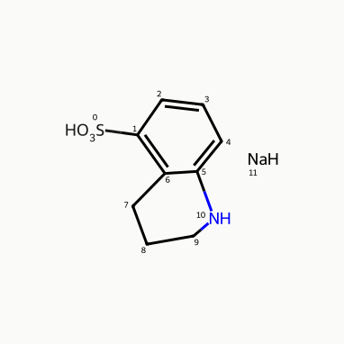 O=S(=O)(O)c1cccc2c1CCCN2.[NaH]